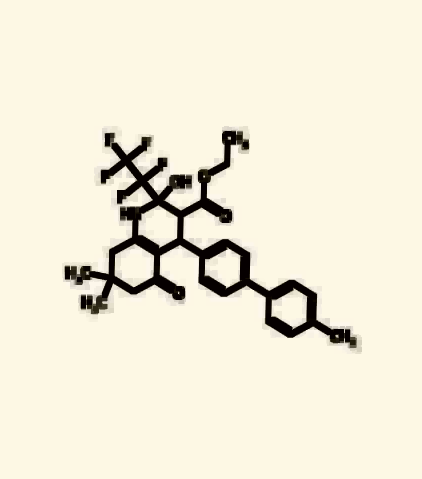 CCOC(=O)C1C(c2ccc(-c3ccc(C)cc3)cc2)C2=C(CC(C)(C)CC2=O)NC1(O)C(F)(F)C(F)(F)F